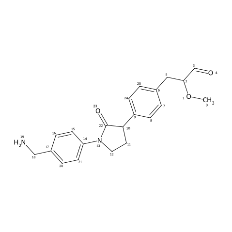 COC(C=O)Cc1ccc(C2CCN(c3ccc(CN)cc3)C2=O)cc1